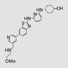 COCCNCc1cncc(-c2ccc3nc(Nc4cccc(N[C@H]5CC[C@H](O)CC5)n4)sc3c2)c1